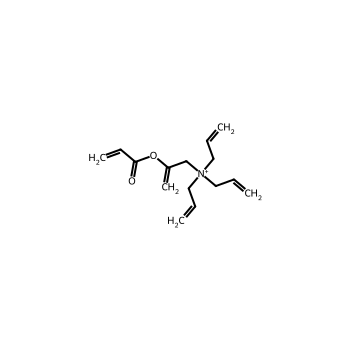 C=CC[N+](CC=C)(CC=C)CC(=C)OC(=O)C=C